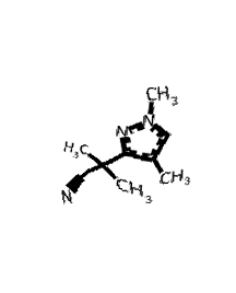 Cc1cn(C)nc1C(C)(C)C#N